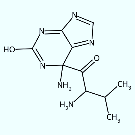 CC(C)C(N)C(=O)C1(N)N=C(O)N=C2N=CN=C21